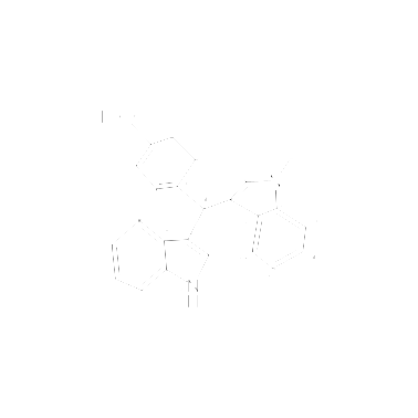 Cn1cc(C(c2ccc(C(F)(F)F)cc2)c2c[nH]c3ccccc23)c2ccccc21